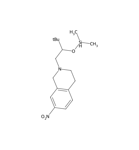 C[SiH](C)OC(CN1CCc2ccc([N+](=O)[O-])cc2C1)C(C)(C)C